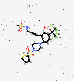 CS(=O)(=O)NCC#Cc1cc(C(O)(C(F)(F)F)C(F)(F)F)ccc1N1CCN(S(=O)(=O)c2cccs2)CC1